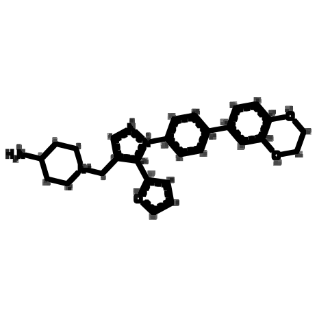 NC1CCN(Cc2cnn(-c3ccc(-c4ccc5c(c4)OCCO5)cc3)c2-c2ccco2)CC1